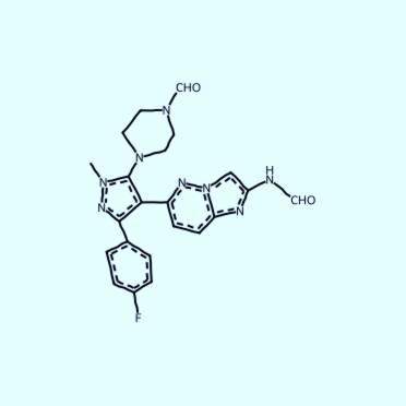 Cn1nc(-c2ccc(F)cc2)c(-c2ccc3nc(NC=O)cn3n2)c1N1CCN(C=O)CC1